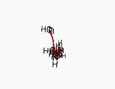 O=C(O)CCCCCCCCCCCCCCCCCCC(=O)N[C@@H](CCC(=O)N[C@@H](Cc1c[nH]cn1)C(=O)N[C@@H](Cc1c[nH]cn1)C(=O)O)C(=O)O